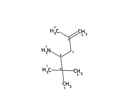 C=C(C)CC(N)C(C)(C)C